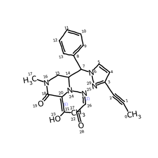 CC#Cc1ccn(C(c2ccccc2)C2CN(C)C(=O)/C(=C(/C)O)N2/N=C\C=O)n1